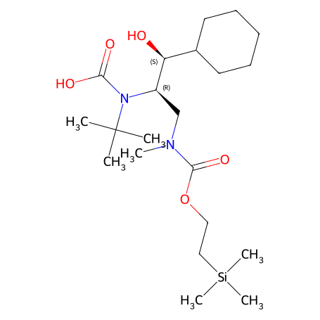 CN(C[C@H]([C@@H](O)C1CCCCC1)N(C(=O)O)C(C)(C)C)C(=O)OCC[Si](C)(C)C